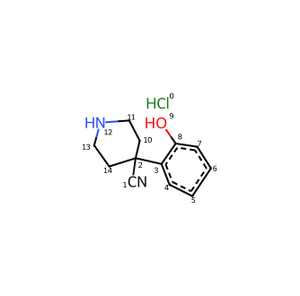 Cl.N#CC1(c2ccccc2O)CCNCC1